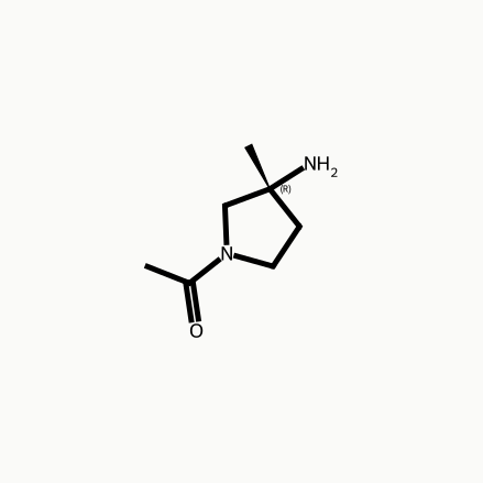 CC(=O)N1CC[C@@](C)(N)C1